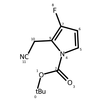 CC(C)(C)OC(=O)n1ccc(F)c1CC#N